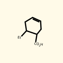 CCC1CC=CCC1C(=O)O